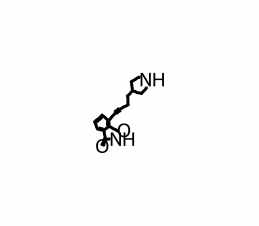 O=C1NC(=O)c2c(C#CCCC3CCNCC3)cccc21